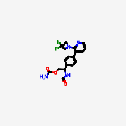 NC(=O)OCC(NC=O)c1ccc(-c2cccnc2N2CC(F)(F)C2)cc1